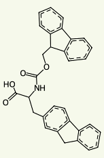 O=C(NC(Cc1ccc2c(c1)Cc1ccccc1-2)C(=O)O)OCC1c2ccccc2-c2ccccc21